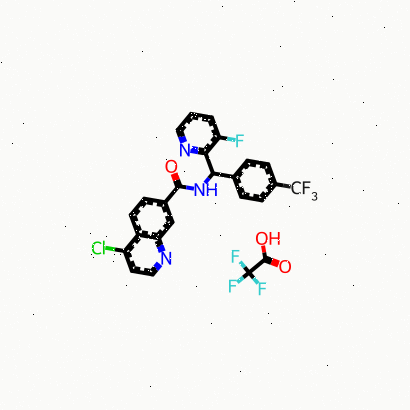 O=C(NC(c1ccc(C(F)(F)F)cc1)c1ncccc1F)c1ccc2c(Cl)ccnc2c1.O=C(O)C(F)(F)F